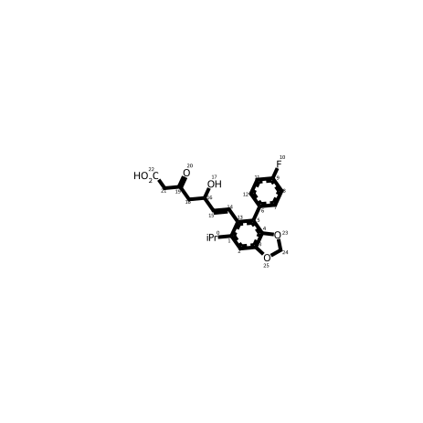 CC(C)c1cc2c(c(-c3ccc(F)cc3)c1C=CC(O)CC(=O)CC(=O)O)OCO2